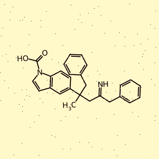 CC(CC(=N)Cc1ccccc1)(Cc1ccccc1)c1ccc2c(ccn2C(=O)O)c1